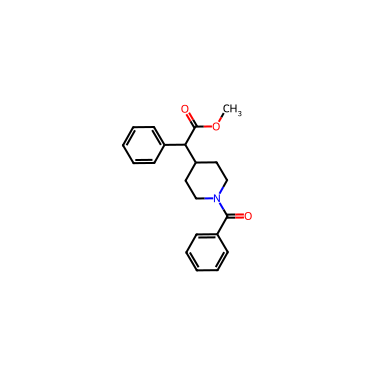 COC(=O)C(c1ccccc1)C1CCN(C(=O)c2ccccc2)CC1